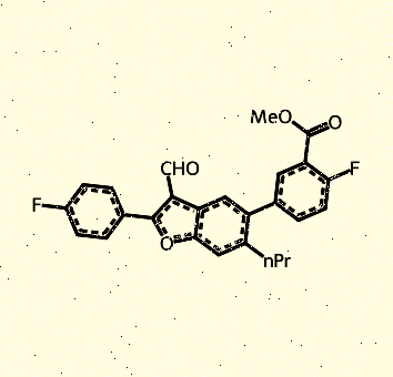 CCCc1cc2oc(-c3ccc(F)cc3)c(C=O)c2cc1-c1ccc(F)c(C(=O)OC)c1